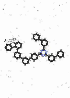 C[Si]1(C)c2ccccc2-c2c(-c3cccc(-c4cccc(-c5ccc(-c6nc(-c7cccc(-c8ccccc8)c7)nc(-c7cccc(-c8ccccc8)c7)n6)cc5)c4)c3)cccc21